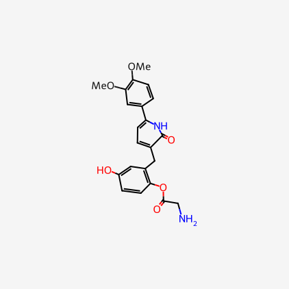 COc1ccc(-c2ccc(Cc3cc(O)ccc3OC(=O)CN)c(=O)[nH]2)cc1OC